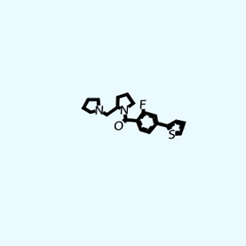 O=C(c1ccc(-c2cccs2)cc1F)N1CCCC1CN1CCCC1